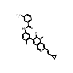 Cc1ccc(NC(=O)c2cccc(C(F)(F)F)c2)cc1-c1cc2cnc(/C=C/C3CC3)cc2n(C)c1=O